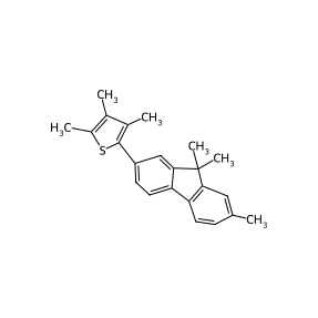 Cc1ccc2c(c1)C(C)(C)c1cc(-c3sc(C)c(C)c3C)ccc1-2